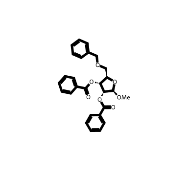 CO[C@@H]1O[C@H](COCc2ccccc2)[C@@H](OC(=O)c2ccccc2)[C@H]1OC(=O)c1ccccc1